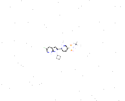 CC(C)(NS(=O)(=O)c1ccc(-c2cc3cc(Cl)cnc3n2C2CCC2)nc1)C(F)(F)F